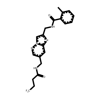 Cc1ccccc1C(=O)NCc1cn2ncc(CNC(=O)CCC(F)(F)F)cc2n1